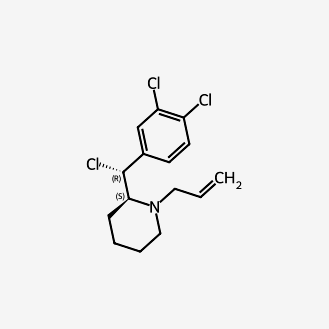 C=CCN1CCCC[C@H]1[C@H](Cl)c1ccc(Cl)c(Cl)c1